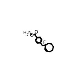 NOC(=O)c1ccc(CC2(F)C#CCCCCC2)cc1